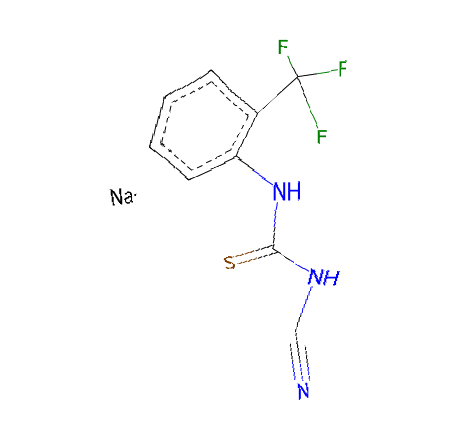 N#CNC(=S)Nc1ccccc1C(F)(F)F.[Na]